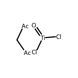 CC(=O)CC(C)=O.[O]=[Ti]([Cl])[Cl]